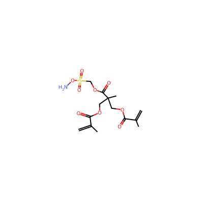 C=C(C)C(=O)OCC(C)(COC(=O)C(=C)C)C(=O)OCS(=O)(=O)ON